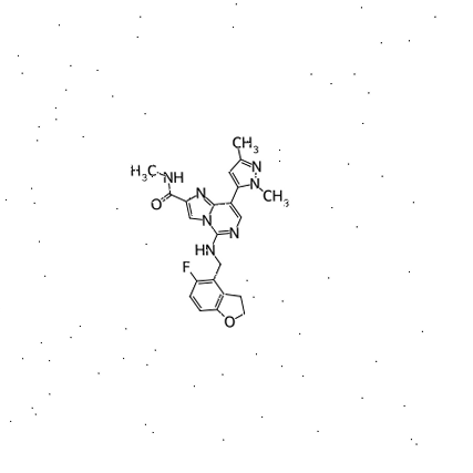 CNC(=O)c1cn2c(NCc3c(F)ccc4c3CCO4)ncc(-c3cc(C)nn3C)c2n1